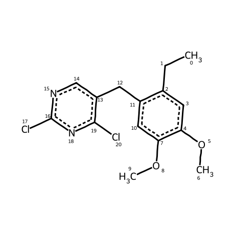 CCc1cc(OC)c(OC)cc1Cc1cnc(Cl)nc1Cl